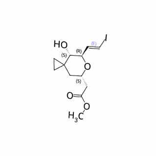 COC(=O)C[C@@H]1CC2(CC2)[C@H](O)[C@@H](/C=C/I)O1